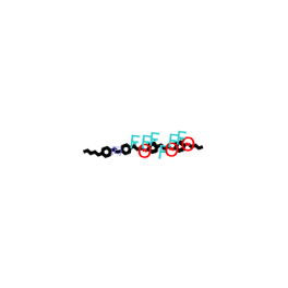 CCCCCC1CCC(/C=C/C2CCC(C(F)CCOc3ccc(CC(F)COc4ccc(OCCCC)c(F)c4F)c(F)c3F)CC2)CC1